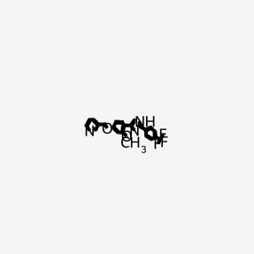 COc1cc(OCc2cccnc2)ccc1-c1c[nH]c(-c2ccc(C(F)(F)F)cc2)n1